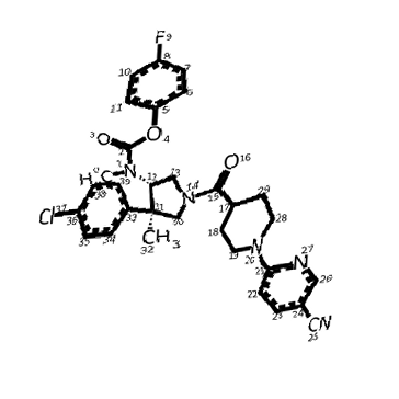 CN(C(=O)Oc1ccc(F)cc1)[C@@H]1CN(C(=O)C2CCN(c3ccc(C#N)cn3)CC2)C[C@@]1(C)c1ccc(Cl)cc1